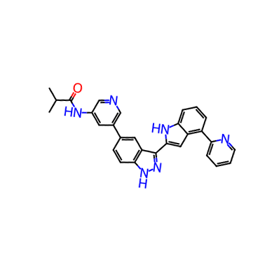 CC(C)C(=O)Nc1cncc(-c2ccc3[nH]nc(-c4cc5c(-c6ccccn6)cccc5[nH]4)c3c2)c1